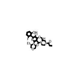 C=CC(=O)N1CCN2C(=O)c3c(N4CCOC[C@@H]4CC)nc(-c4c(O)cccc4F)c(Cl)c3OC[C@H]2C1